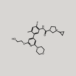 Cc1cc(F)c(NC(=O)N2CC[C@@H](C3CC3)C2)cc1-c1cc(OCCO)nc(N2CCOCC2)c1